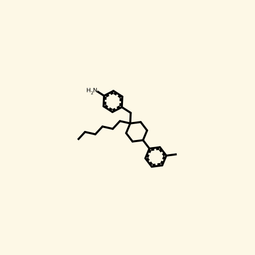 CCCCCCC1(Cc2ccc(N)cc2)CCC(c2cccc(C)c2)CC1